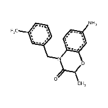 CC1Oc2cc(N)ccc2N(Cc2cccc(C(F)(F)F)c2)C1=O